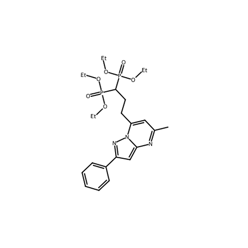 CCOP(=O)(OCC)C(CCc1cc(C)nc2cc(-c3ccccc3)nn12)P(=O)(OCC)OCC